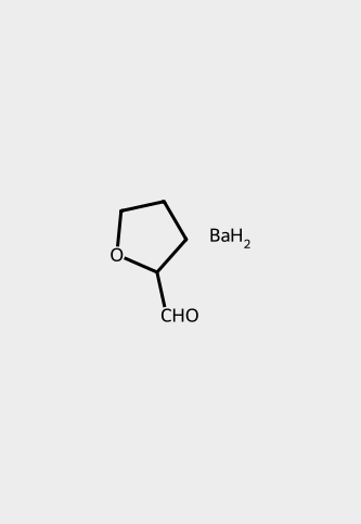 O=CC1CCCO1.[BaH2]